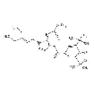 CCC(=CCn1ccn(CC(=O)c2cc(C(C)(C)C)c(O)c(C(C)(C)C)c2)/c1=N\C(=O)OC)CC